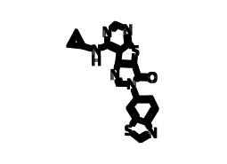 O=c1c2sc3ncnc(NC4CC4)c3c2ncn1-c1ccc2ncsc2c1